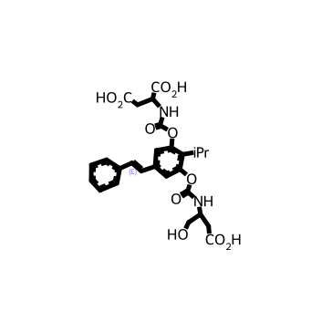 CC(C)c1c(OC(=O)NC(CO)CC(=O)O)cc(/C=C/c2ccccc2)cc1OC(=O)NC(CC(=O)O)C(=O)O